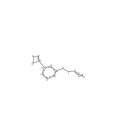 C=CCCc1cccc(C2=CCC2)c1